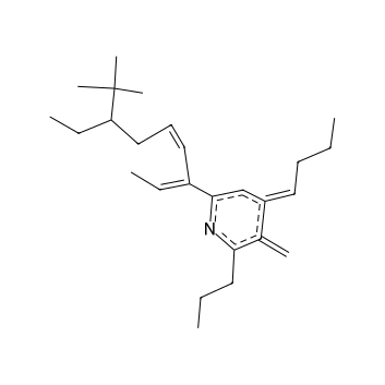 C=c1c(CCC)nc(C(/C=C\CC(CC)C(C)(C)C)=C/C)c/c1=C\CCC